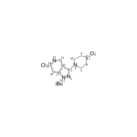 CCC(C)n1nc(N2CC[S+]([O-])CC2)c2cnc(Cl)cc21